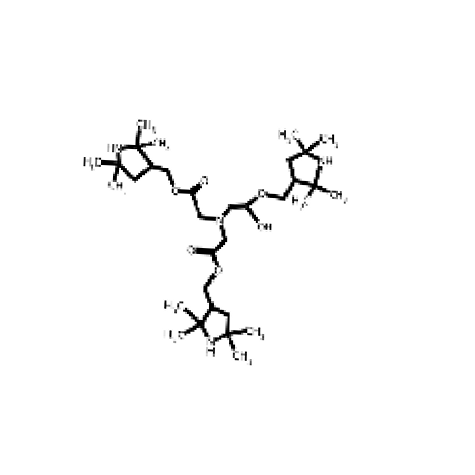 CC1(C)CC(COC(=O)CN(CC(=O)OCC2CC(C)(C)NC2(C)C)CC(O)OCC2CC(C)(C)NC2(C)C)C(C)(C)N1